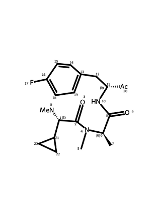 CN[C@H](C(=O)N(C)[C@H](C)C(=O)N[C@H](Cc1ccc(F)cc1)C(C)=O)C1CC1